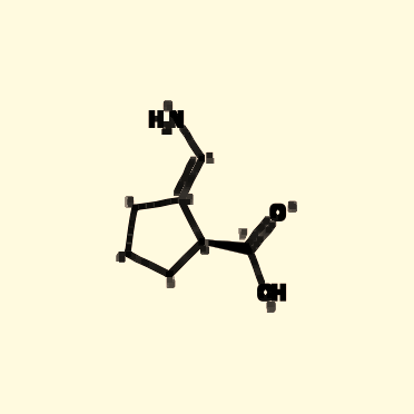 NC=C1CCC[C@@H]1C(=O)O